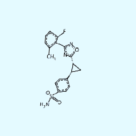 Cc1cccc(F)c1-c1noc([C@@H]2C[C@H]2c2ccc(S(N)(=O)=O)cc2)n1